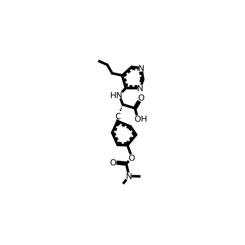 CCCc1cncnc1N[C@@H](Cc1ccc(OC(=O)N(C)C)cc1)C(=O)O